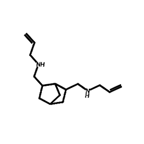 C=CCNCC1CC2CC(CNCC=C)C1C2